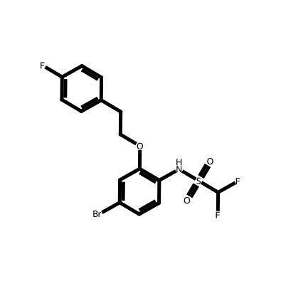 O=S(=O)(Nc1ccc(Br)cc1OCCc1ccc(F)cc1)C(F)F